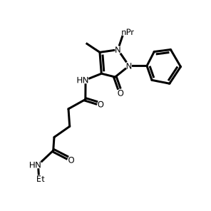 CCCn1c(C)c(NC(=O)CCCC(=O)NCC)c(=O)n1-c1ccccc1